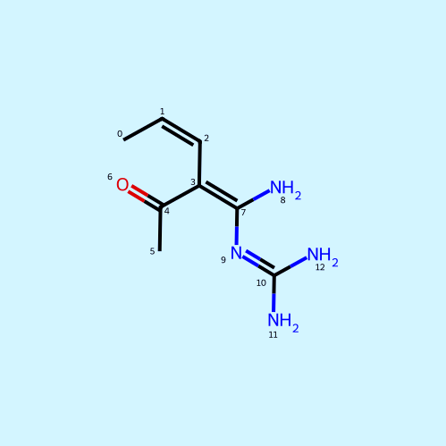 C/C=C\C(C(C)=O)=C(/N)N=C(N)N